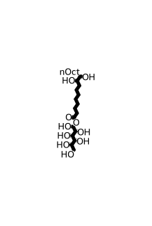 CCCCCCCCC(O)C(O)CCCCCCCC(=O)OC(O)[C@H](O)[C@@H](O)[C@H](O)[C@H](O)CO